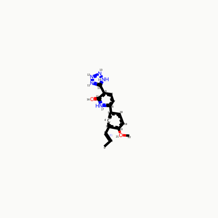 C/C=C/c1cc(-c2ccc(-c3nnn[nH]3)c(=O)[nH]2)ccc1OC